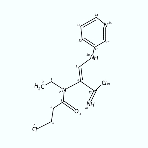 CCN(C(=O)CCCl)/C(=C/Nc1cccnc1)C(=N)Cl